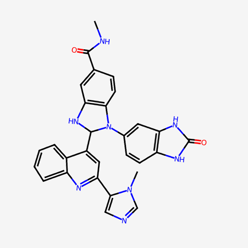 CNC(=O)c1ccc2c(c1)NC(c1cc(-c3cncn3C)nc3ccccc13)N2c1ccc2[nH]c(=O)[nH]c2c1